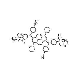 [C-]#[N+]c1ccc(N(c2ccc(C(C)(C)C)cc2)c2cc(C3CCCCC3)c3ccc4c(N(c5ccc(C#N)cc5)c5ccc(C(C)(C)C)cc5)cc(C5CCCCC5)c5ccc2c3c54)cc1